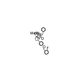 COC(=O)[C@]1(CO)CCC(c2ccc(OCc3ccccc3F)cc2)N1C(=O)OCc1ccccc1